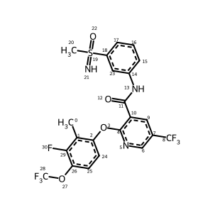 Cc1c(Oc2ncc(C(F)(F)F)cc2C(=O)Nc2cccc(S(C)(=N)=O)c2)ccc(OC(F)(F)F)c1F